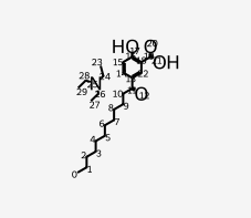 CCCCCCCCCCCC(=O)c1ccc(O)c(C(=O)O)c1.CCN(CC)CC